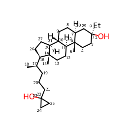 CC[C@]1(O)CC[C@@]2(C)[C@@H](CC[C@@H]3[C@@H]2CC[C@]2(C)[C@@H]([C@H](C)CCCC4(O)CC4)CC[C@@H]32)C1